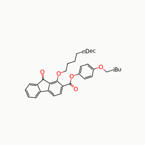 CCCCCCCCCCCCCCOc1c(C(=O)Oc2ccc(OCC(C)CC)cc2)ccc2c1C(=O)c1ccccc1-2